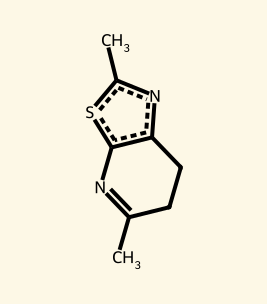 CC1=Nc2sc(C)nc2CC1